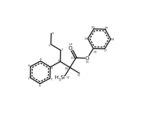 CCCC(c1ccccc1)C(C)([SiH3])C(=O)Oc1ccccc1